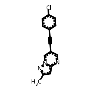 Cc1cc2ncc(C#Cc3ccc(Cl)cc3)cn2n1